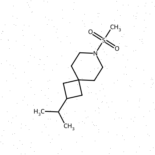 CC(C)C1CC2(CCN(S(C)(=O)=O)CC2)C1